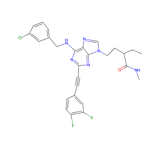 CCC(CCn1cnc2c(NCc3cccc(Cl)c3)nc(C#Cc3ccc(F)c(F)c3)nc21)C(=O)NC